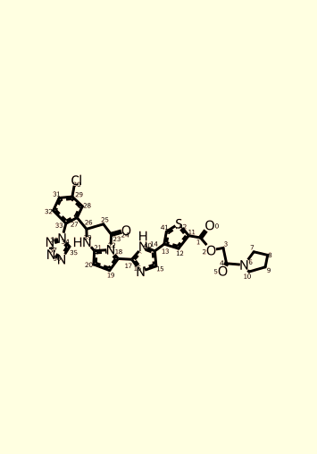 O=C(OCC(=O)N1CCCC1)c1cc(-c2cnc(-c3ccc4n3C(=O)CC(c3cc(Cl)ccc3-n3cnnn3)N4)[nH]2)cs1